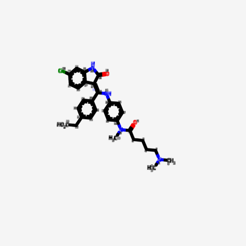 CN(C)CCCCC(=O)N(C)c1ccc(N/C(=C2\C(=O)Nc3cc(Cl)ccc32)c2ccc(CC(=O)O)cc2)cc1